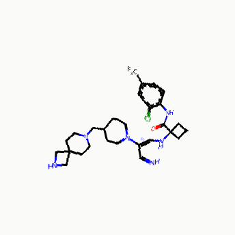 N=C/C(=C\NC1(C(=O)Nc2ccc(C(F)(F)F)cc2Cl)CCC1)N1CCC(CN2CCC3(CC2)CNC3)CC1